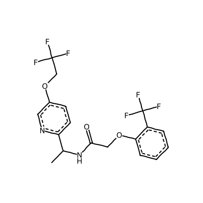 CC(NC(=O)COc1ccccc1C(F)(F)F)c1ccc(OCC(F)(F)F)cn1